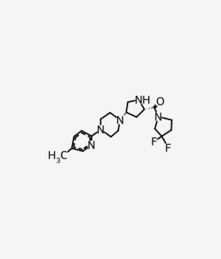 Cc1ccc(N2CCN([C@@H]3CN[C@H](C(=O)N4CCC(F)(F)C4)C3)CC2)nc1